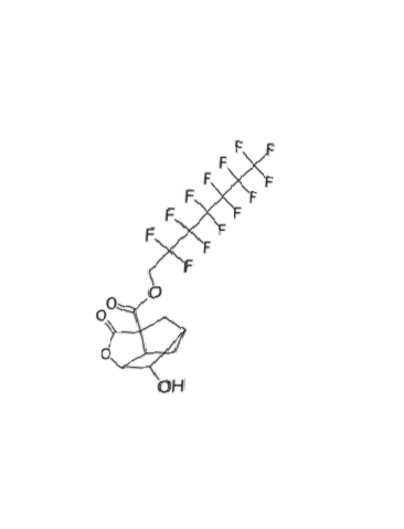 O=C(OCC(F)(F)C(F)(F)C(F)(F)C(F)(F)C(F)(F)C(F)(F)F)C12CC3CC1C(OC2=O)C3O